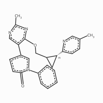 Cc1ccc([C@@H]2CC2COc2nc(C)ncc2-c2ccc(=O)n(-c3ccccc3)c2)nc1